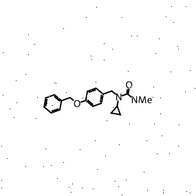 CNC(=O)N(Cc1ccc(OCc2ccccc2)cc1)C1CC1